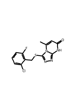 Cc1cc(=O)[nH]c2nnc(SCc3c(F)cccc3Cl)n12